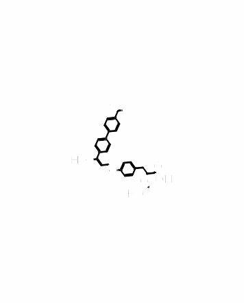 CCOC(Cc1ccc(OCC=C(C)c2ccc(-c3ccc(C(C)=O)cc3)cc2)cc1)C(=O)O